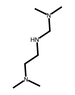 CN(C)CCNCN(C)C